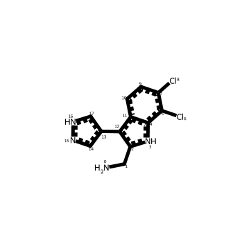 NCc1[nH]c2c(Cl)c(Cl)ccc2c1-c1cn[nH]c1